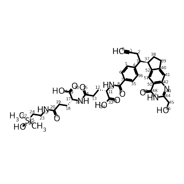 C#CCC(c1ccc(C(=O)N[C@@H](CCC(=O)N[C@H](CCC(=O)NCC[Si](C)(C)O)C(=O)O)C(=O)O)cc1)[C@H]1CCc2cc3nc(CO)[nH]c(=O)c3cc21